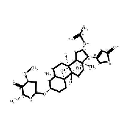 CO[C@H]1CC(O[C@H]2CC[C@@]3(C)[C@H](CC[C@@H]4[C@@H]3CC[C@]3(C)[C@@H](C5=CC(=O)OC5)[C@@H](OC(C)=O)C[C@]43O)C2)O[C@H](C)C1=O